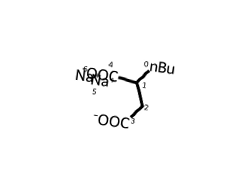 CCCCC(CC(=O)[O-])C(=O)[O-].[Na+].[Na+]